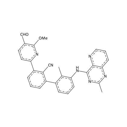 COc1nc(-c2cccc(-c3cccc(Nc4nc(C)nc5cccnc45)c3C)c2C#N)ccc1C=O